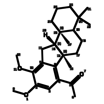 COc1cc(C(C)=O)c2c(c1OC)C[C@H]1[C@@]2(C)CCC2C(C)(C)CCC[C@@]21C